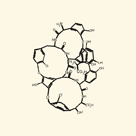 NC1C(=O)NC2Cc3ccc(c(Cl)c3)Oc3cc4cc(c3O)Oc3ccc(cc3Cl)C(O)C(C(=O)O)NC(=O)C(c3ccc(O)c(-c5c(O)cc(O)cc5C(N)C(=O)O)c3)NC(=O)C4NC(=O)C(NC2=O)c2cc(O)cc(c2)Oc2cc1ccc2O